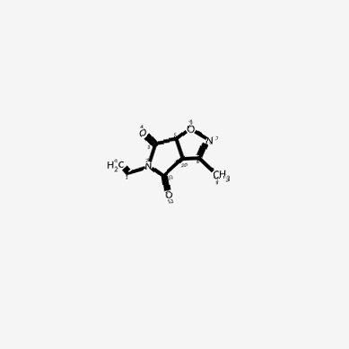 C=CN1C(=O)C2ON=C(C)C2C1=O